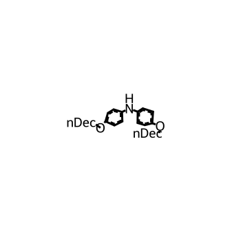 CCCCCCCCCCOc1ccc(Nc2ccc(OCCCCCCCCCC)cc2)cc1